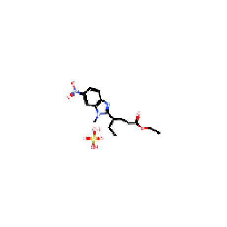 CCOC(=O)CCC(CC)c1nc2ccc([N+](=O)[O-])cc2n1C.O=S(=O)(O)O